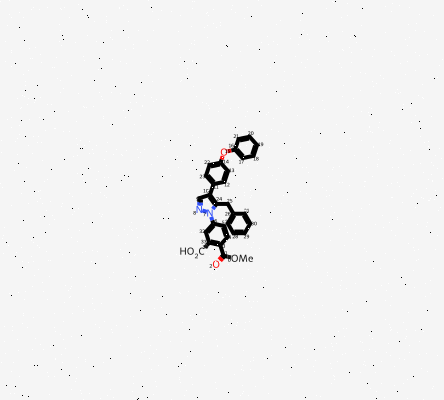 COC(=O)c1ccc(-n2ncc(-c3ccc(Oc4ccccc4)cc3)c2Cc2ccccc2)cc1C(=O)O